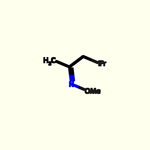 CO/N=C(/C)CC(C)C